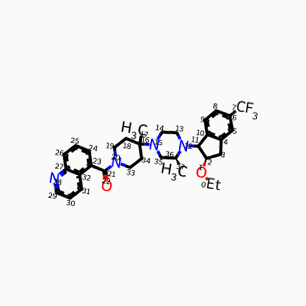 CCO[C@@H]1Cc2cc(C(F)(F)F)ccc2C1N1CCN(C2(C)CCN(C(=O)c3cccc4ncccc34)CC2)C[C@@H]1C